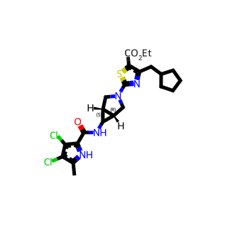 CCOC(=O)c1sc(N2C[C@@H]3C(NC(=O)c4[nH]c(C)c(Cl)c4Cl)[C@@H]3C2)nc1CC1CCCC1